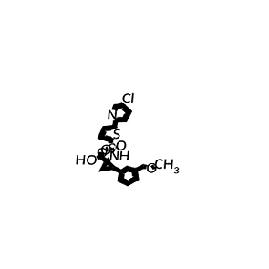 COCc1cccc(C2CC2(NS(=O)(=O)c2ccc(-c3ccc(Cl)cn3)s2)C(=O)O)c1